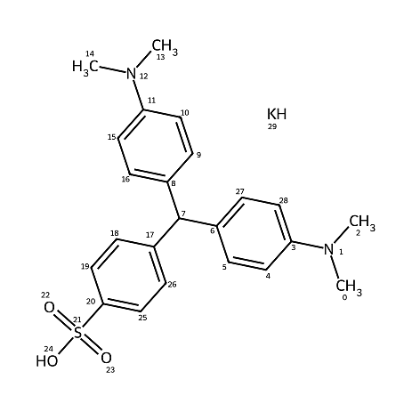 CN(C)c1ccc(C(c2ccc(N(C)C)cc2)c2ccc(S(=O)(=O)O)cc2)cc1.[KH]